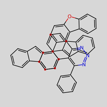 C1=CC2(C3=Cc4ccccc4C3=C1)C1=Cc3ccccc3C1=CC=C2c1c(-c2ccccc2)nnnc1-c1c(-c2ccccc2)ccc2oc3ccccc3c12